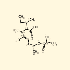 CC[C@@H](C)[C@@H](C(=O)O)N(C)/[N+]([O-])=N/OC(C)OC(=O)C(C)C